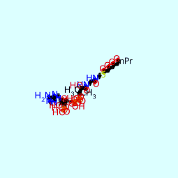 CCCC(=O)CC(=O)CC(=O)CC(=O)SCCNC(=O)CCNC(=O)[C@H](O)C(C)(C)COP(=O)(O)OP(=O)(O)OC[C@H]1O[C@@H](n2cnc3c(N)ncnc32)[C@H](O)[C@@H]1OP(=O)(O)O